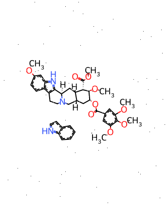 COC(=O)[C@H]1[C@H]2C[C@@H]3c4[nH]c5cc(OC)ccc5c4CCN3C[C@H]2C[C@@H](OC(=O)c2cc(OC)c(OC)c(OC)c2)[C@@H]1OC.c1ccc2[nH]ccc2c1